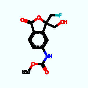 CC(C)(C)OC(=O)Nc1ccc2c(c1)C(CO)(CF)OC2=O